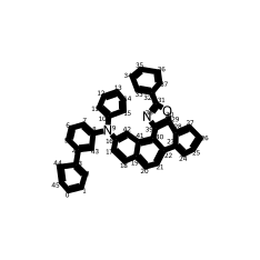 c1ccc(-c2cccc(N(c3ccccc3)c3ccc4ccc5c6ccccc6c6oc(-c7ccccc7)nc6c5c4c3)c2)cc1